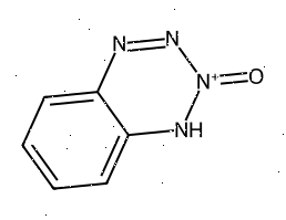 O=[n+]1nnc2ccccc2[nH]1